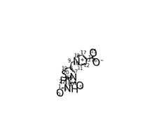 O=CN[C@@H]1C(=O)N2C=C(C[n+]3ccc(C(=O)[O-])cc3)CS[C@@H]12